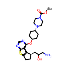 CC(C)(C)OC(=O)N1CCN([C@H]2CC[C@H](Oc3ncnc4sc5c(c34)[C@@H](CC(O)CN)CC5)CC2)CC1